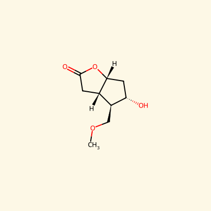 COC[C@H]1[C@@H]2CC(=O)O[C@@H]2C[C@@H]1O